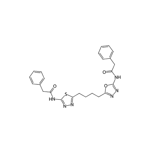 O=C(Cc1ccccc1)Nc1nnc(CCCCc2nnc(NC(=O)Cc3ccccc3)s2)o1